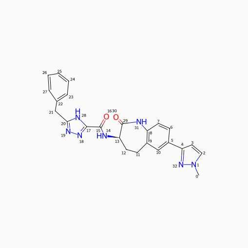 Cn1ccc(-c2ccc3c(c2)CC[C@@H](NC(=O)c2nnc(Cc4ccccc4)[nH]2)C(=O)N3)n1